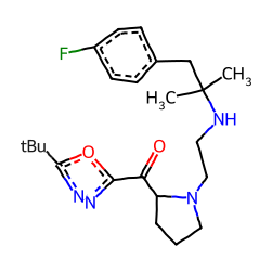 CC(C)(Cc1ccc(F)cc1)NCCN1CCCC1C(=O)c1nnc(C(C)(C)C)o1